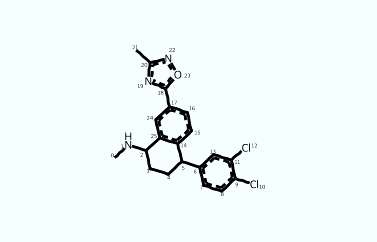 CNC1CCC(c2ccc(Cl)c(Cl)c2)c2ccc(-c3nc(C)no3)cc21